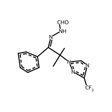 CC(C)(/C(=N\NC=O)c1ccccc1)n1cnc(C(F)(F)F)n1